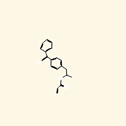 C=CC(=O)OC(C)Cc1ccc(C(=O)c2ccccc2)cc1